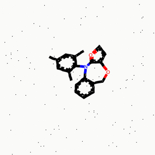 Cc1cc(C)c(N2c3ccccc3COc3ccoc32)c(C)c1